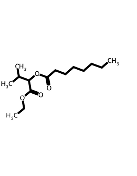 CCCCCCCC(=O)OC(C(=O)OCC)C(C)C